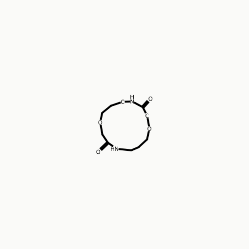 O=C1COCCCNC(=O)COCCCN1